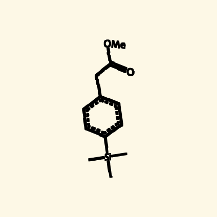 COC(=O)Cc1ccc([Si](C)(C)C)cc1